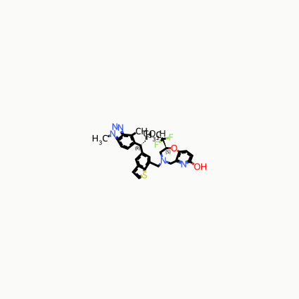 Cc1c([C@H](CC(=O)O)c2cc(CN3Cc4nc(O)ccc4O[C@H](C(C)(F)F)C3)c3sccc3c2)ccc2c1nnn2C